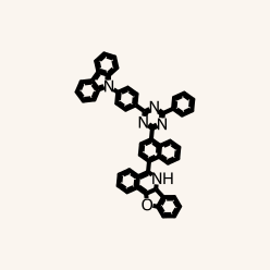 c1ccc(-c2nc(-c3ccc(-n4c5ccccc5c5ccccc54)cc3)nc(-c3ccc(C4=c5ccccc5=C5Oc6ccccc6C5N4)c4ccccc34)n2)cc1